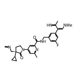 C=NC[C@@]1(C2CC2)CCN(c2cc(C)nc(C(=O)NCc3cc(F)cc(/C(=C/NC)C(C)=N)c3)c2)C1=O